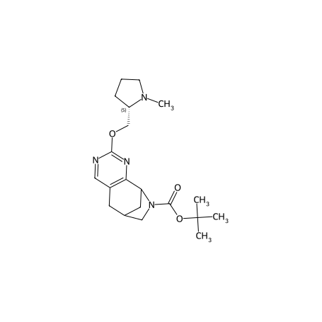 CN1CCC[C@H]1COc1ncc2c(n1)C1CC(C2)CN1C(=O)OC(C)(C)C